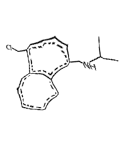 CC(C)Nc1ccc(Cl)c2ccccc12